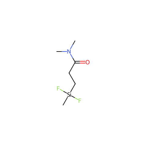 CN(C)C(=O)CC[Si](C)(F)F